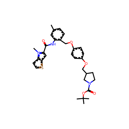 Cc1ccc(COc2ccc(OCC3CCN(C(=O)OC(C)(C)C)C3)cc2)c(NC(=O)c2cc3sccc3n2C)c1